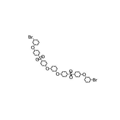 O=S(=O)(c1ccc(Oc2cccc(Br)c2)cc1)c1ccc(Oc2cccc(Oc3ccc(S(=O)(=O)c4ccc(Oc5cccc(Br)c5)cc4)cc3)c2)cc1